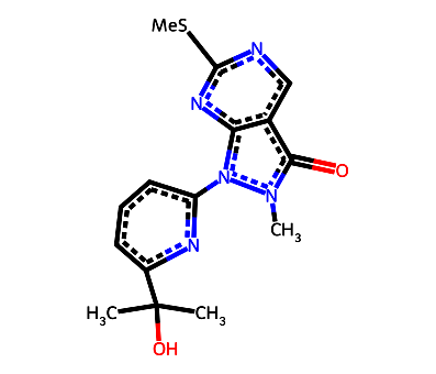 CSc1ncc2c(=O)n(C)n(-c3cccc(C(C)(C)O)n3)c2n1